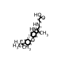 Cc1c(CNCCC(=O)O)[nH]c2ccc(O[C@H]3CC[C@H](C(C)(C)C)CC3)cc12